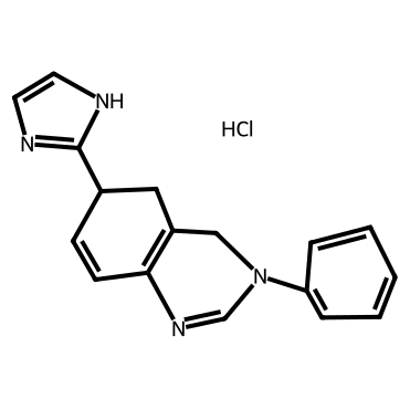 C1=CC(c2ncc[nH]2)CC2=C1N=CN(c1ccccc1)C2.Cl